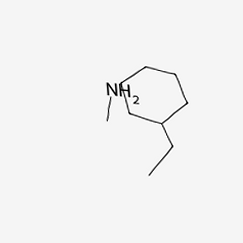 CCC1CCCCC1.CN